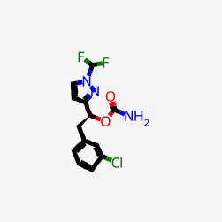 NC(=O)O[C@@H](Cc1cccc(Cl)c1)c1ccn(C(F)F)n1